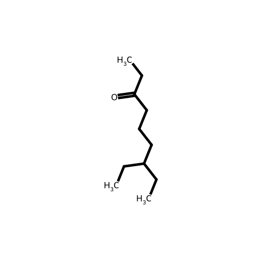 CCC(=O)CCCC(CC)CC